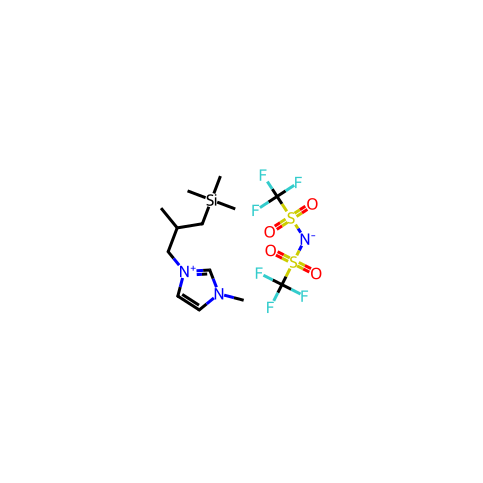 CC(C[n+]1ccn(C)c1)C[Si](C)(C)C.O=S(=O)([N-]S(=O)(=O)C(F)(F)F)C(F)(F)F